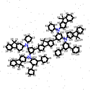 CC1(C)c2cc(-c3cc(N(c4ccccc4)c4ccc5c(c4)C(C)(C)c4ccccc4-5)cc(N(c4cc(-c5ccccc5)cc(-c5ccccc5)c4)c4ccc5c(c4)C(C)(C)c4ccccc4-5)c3)ccc2-c2ccc(-c3cc(N(c4ccccc4)c4ccc5c(c4)C(C)(C)c4ccccc4-5)cc(N(c4cc(-c5ccccc5)cc(-c5ccccc5)c4)c4ccc5c(c4)C(C)(C)c4ccccc4-5)c3)cc21